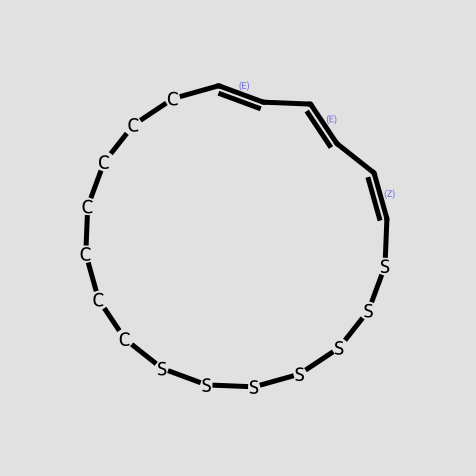 C1=C\SSSSSSSCCCCCCC/C=C/C=C/1